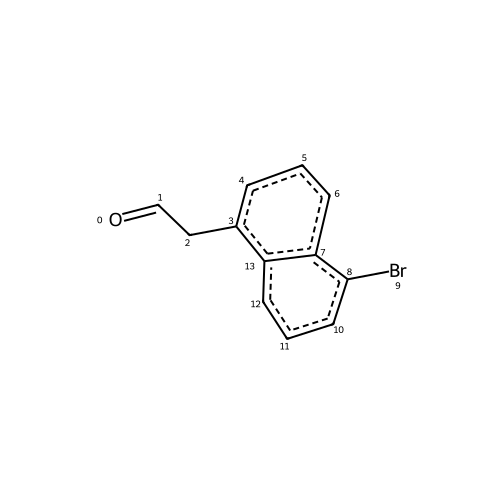 O=CCc1cccc2c(Br)cccc12